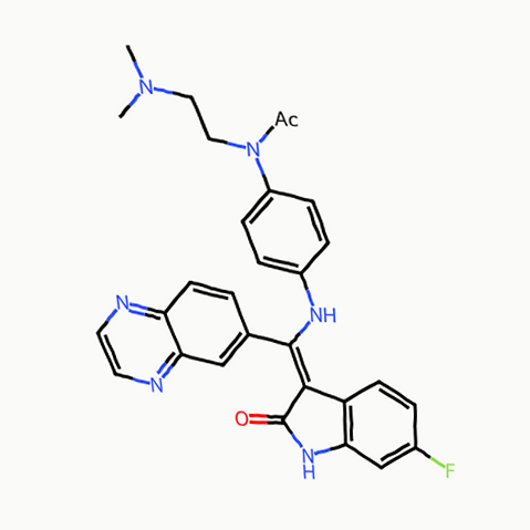 CC(=O)N(CCN(C)C)c1ccc(NC(=C2C(=O)Nc3cc(F)ccc32)c2ccc3nccnc3c2)cc1